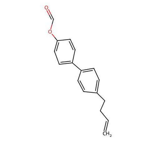 C=CCCc1ccc(-c2ccc(OC=O)cc2)cc1